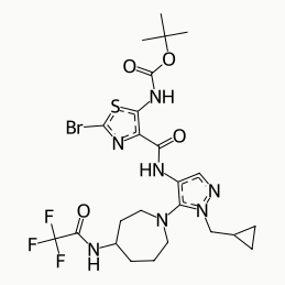 CC(C)(C)OC(=O)Nc1sc(Br)nc1C(=O)Nc1cnn(CC2CC2)c1N1CCCC(NC(=O)C(F)(F)F)CC1